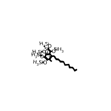 CCCCCCCCCCCc1c(C)c(O[SiH3])c(O[SiH3])c(O[SiH3])c1C(O[SiH3])=C(O[SiH3])[SiH2]C